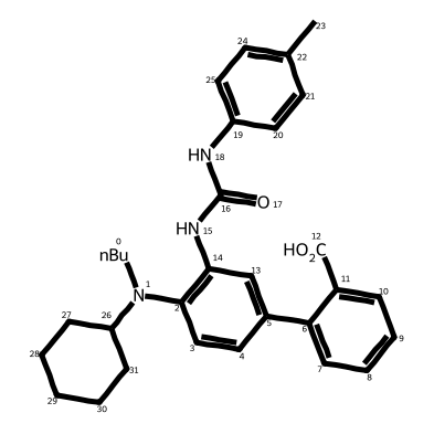 CCCCN(c1ccc(-c2ccccc2C(=O)O)cc1NC(=O)Nc1ccc(C)cc1)C1CCCCC1